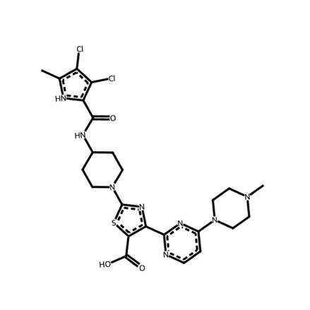 Cc1[nH]c(C(=O)NC2CCN(c3nc(-c4nccc(N5CCN(C)CC5)n4)c(C(=O)O)s3)CC2)c(Cl)c1Cl